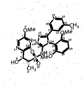 COc1cnc([C@H](O)[C@@H](C)S(=O)(=O)Nc2nnc(-c3cncc(C)c3)n2-c2c(OC)cccc2OC)cn1